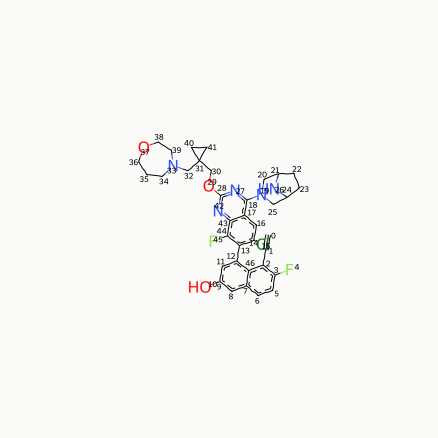 C#Cc1c(F)ccc2cc(O)cc(-c3c(Cl)cc4c(N5CC6CCC(C5)N6)nc(OCC5(CN6CCCOCC6)CC5)nc4c3F)c12